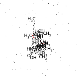 CCCCCCCCCCCCCCCCCC(=O)N[C@@H](CCC(=O)O)C(=O)N[C@@H](CC(C)C)C(=O)N[C@H](CC(C)C)C(=O)N[C@H](C(=O)N[C@@H](CC(=O)O)C(=O)N[C@H](CC(C)C)C(=O)N[C@@H](CC(C)C)C(=O)O)C(C)C